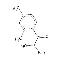 Cc1ccc(C(=O)C(O)[N+](=O)[O-])c(C)c1